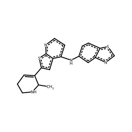 CC1NCCC=C1c1cc2c(Nc3ccc4scnc4c3)ccnc2s1